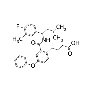 Cc1cc(C(CC(C)C)NC(=O)c2cc(Oc3ccccc3)ccc2CCCC(=O)O)ccc1F